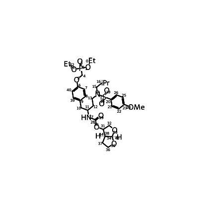 CCOP(=O)(COc1ccc(CC(CCN(CC(C)C)S(=O)(=O)c2ccc(OC)cc2)NC(=O)OC2CO[C@H]3OCC[C@@H]23)cc1)OCC